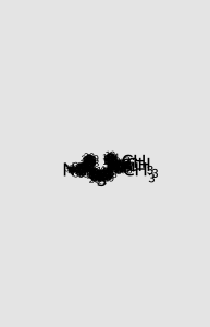 C[Si](C)(C)c1ccc2c(c1)c1ccccc1n2-c1ccc2sc3ccc(-n4c5ccccc5c5cc(C#N)ccc54)cc3c2c1